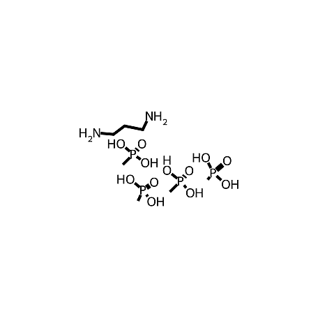 CP(=O)(O)O.CP(=O)(O)O.CP(=O)(O)O.CP(=O)(O)O.NCCCN